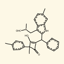 Cc1ccc(C2(C)C(=O)C(C(c3ccccc3)c3[nH]c4cc(C)ccc4c3CN(C)C=O)=C2O)cc1